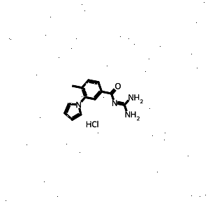 Cc1ccc(C(=O)N=C(N)N)cc1-n1cccc1.Cl